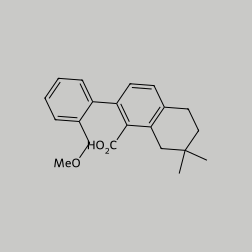 COCc1ccccc1-c1ccc2c(c1C(=O)O)CC(C)(C)CC2